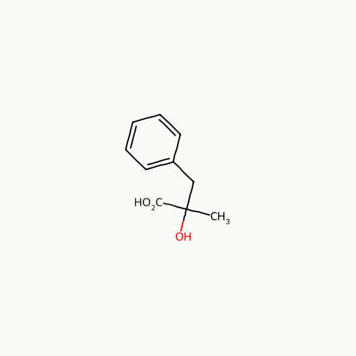 CC(O)(Cc1ccccc1)C(=O)O